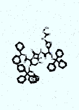 CC(C)(C)OC(=O)Nc1nc(/C(=N/OC(c2ccccc2)(c2ccccc2)c2ccccc2)C(=O)N[C@@H]2C(=O)N3C(C(=O)OC(c4ccccc4)c4ccccc4)=C(SC(Sc4nc[nH]n4)C(c4ccccc4)(c4ccccc4)c4ccccc4)C[S+]([O-])[C@H]23)cs1